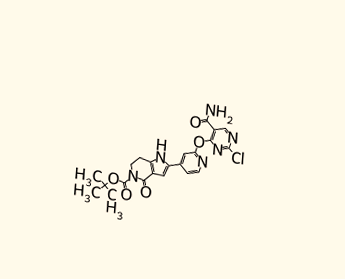 CC(C)(C)OC(=O)N1CCc2[nH]c(-c3ccnc(Oc4nc(Cl)ncc4C(N)=O)c3)cc2C1=O